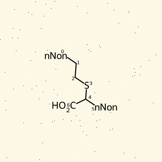 CCCCCCCCCCCSC(CCCCCCCCC)C(=O)O